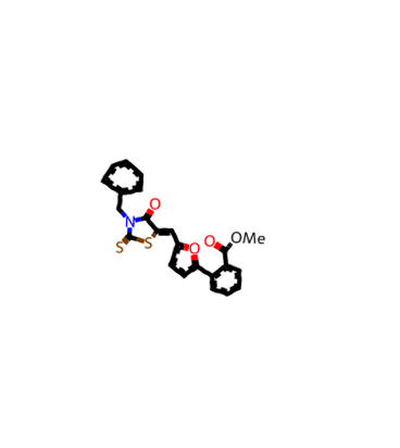 COC(=O)c1ccccc1-c1ccc(/C=C2\SC(=S)N(Cc3ccccc3)C2=O)o1